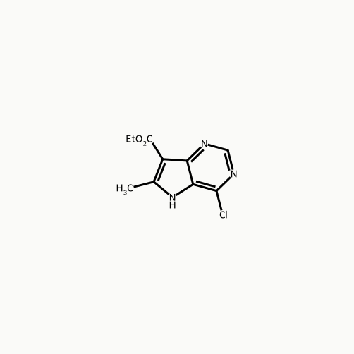 CCOC(=O)c1c(C)[nH]c2c(Cl)ncnc12